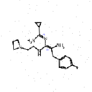 N/C(=N\C(NCCN1CCC1)=C(/N)Cc1ccc(F)cc1)C1CC1